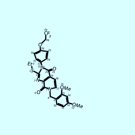 CCSc1nc2c(=O)n(Cc3ccc(OC)cc3OC)ccc2c(=O)n1-c1ccc(OCC(F)(F)F)cc1